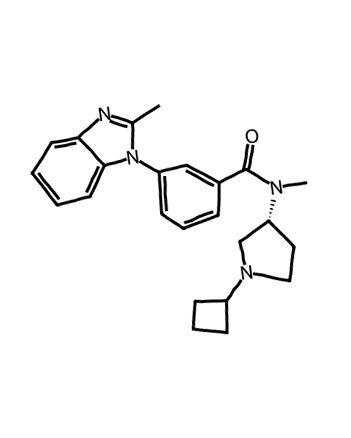 Cc1nc2ccccc2n1-c1cccc(C(=O)N(C)[C@@H]2CCN(C3CCC3)C2)c1